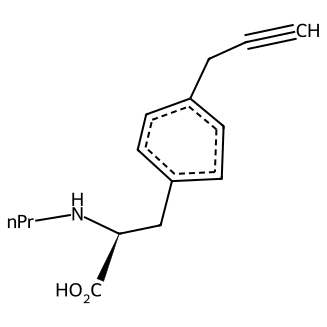 C#CCc1ccc(C[C@H](NCCC)C(=O)O)cc1